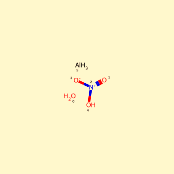 O.O=[N+]([O-])O.[AlH3]